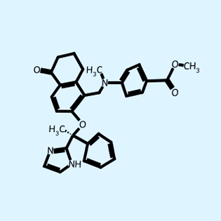 COC(=O)c1ccc(N(C)Cc2c(O[C@@](C)(c3ccccc3)c3ncc[nH]3)ccc3c2CCCC3=O)cc1